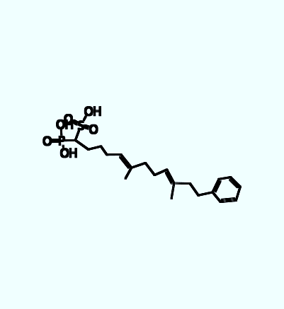 C/C(=C\CCCC(P(=O)(O)O)S(=O)(=O)O)CC/C=C(\C)CCc1ccccc1